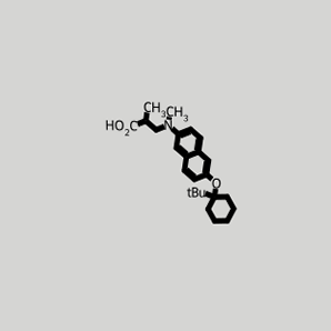 CC(CN(C)c1ccc2cc(OC3(C(C)(C)C)CCCCC3)ccc2c1)C(=O)O